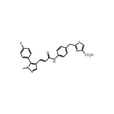 CCOC(=O)c1csc(Cc2ccc(NC(=O)C=Cc3cnn(C)c3-c3ccc(F)cc3)cc2)n1